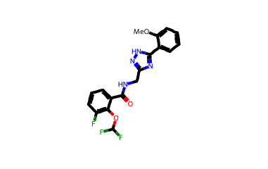 COc1ccccc1-c1nc(CNC(=O)c2cccc(F)c2OC(F)F)n[nH]1